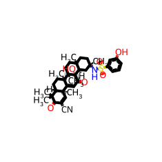 CC1(C)C(=O)C(C#N)=C[C@]2(C)C3=CC(=O)[C@]4(O)[C@@H]5C[C@@](C)(NS(=O)(=O)c6cccc(O)c6)CC[C@@]5(C)CC[C@@]4(C)[C@]3(C)CC[C@@H]12